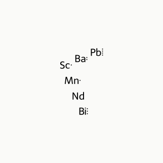 [Ba].[Bi].[Mn].[Nd].[Pb].[Sc]